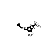 COc1cc(CNCC2CC2)cc2nc(C(C)C)oc12